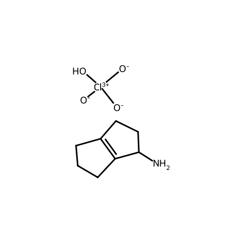 NC1CCC2=C1CCC2.[O-][Cl+3]([O-])([O-])O